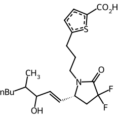 CCCCC(C)C(O)/C=C/[C@H]1CC(F)(F)C(=O)N1CCCc1ccc(C(=O)O)s1